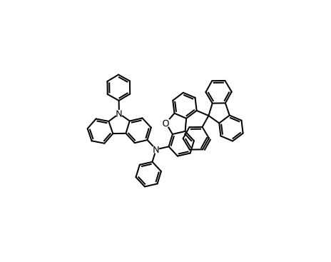 c1cccc(C2(c3cccc4oc5c(N(c6ccccc6)c6ccc7c(c6)c6ccccc6n7-c6ccccc6)cccc5c34)c3ccccc3-c3ccccc32)c#1